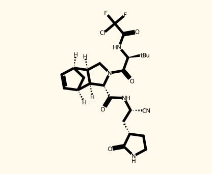 CC(C)(C)[C@H](NC(=O)C(F)(F)Cl)C(=O)N1C[C@H]2[C@@H]([C@H]1C(=O)N[C@H](C#N)C[C@@H]1CCNC1=O)[C@H]1C=C[C@@H]2C1